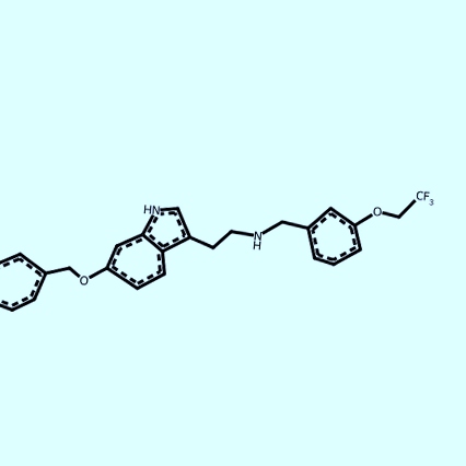 FC(F)(F)COc1cccc(CNCCc2c[nH]c3cc(OCc4ccccc4)ccc23)c1